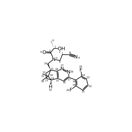 C[C@H](O)C(=O)N(CCC#N)C[C@@]12CC[C@@H](c3cc(-c4c(F)cccc4F)nnc31)C2(C)C